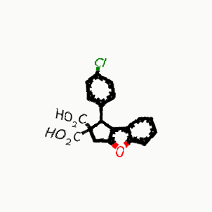 O=C(O)C1(C(=O)O)Cc2oc3ccccc3c2C1c1ccc(Cl)cc1